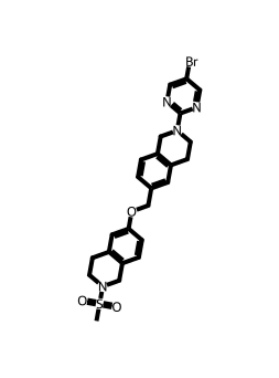 CS(=O)(=O)N1CCc2cc(OCc3ccc4c(c3)CCN(c3ncc(Br)cn3)C4)ccc2C1